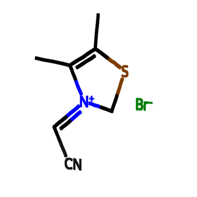 CC1=C(C)[N+](=CC#N)CS1.[Br-]